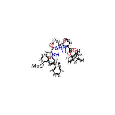 COc1ccc(C[C@H](Nc2cccc(-c3ccccc3)c2)C(=O)N[C@H](C(=O)N[C@@H](CC(C)C)B2O[C@@H]3C[C@@H]4C[C@@H](C4(C)C)[C@]3(C)O2)C(C)C)cc1OC